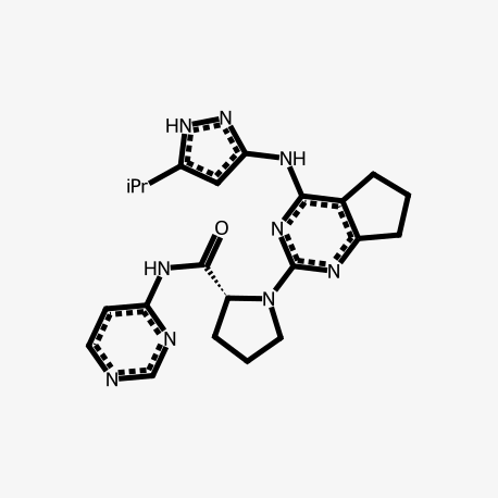 CC(C)c1cc(Nc2nc(N3CCC[C@@H]3C(=O)Nc3ccncn3)nc3c2CCC3)n[nH]1